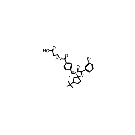 C[C@H](c1ccc(C(=O)NCCC(=O)O)cc1)N1C(=O)C(c2cccc(Br)c2)=NC12CCC(C(C)(C)C)C2